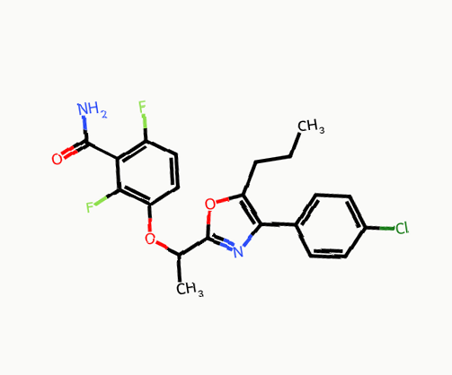 CCCc1oc(C(C)Oc2ccc(F)c(C(N)=O)c2F)nc1-c1ccc(Cl)cc1